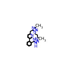 CCCCn1nc(C)nc1Cc1ccc(-c2ccccc2-c2nnn[nH]2)cn1